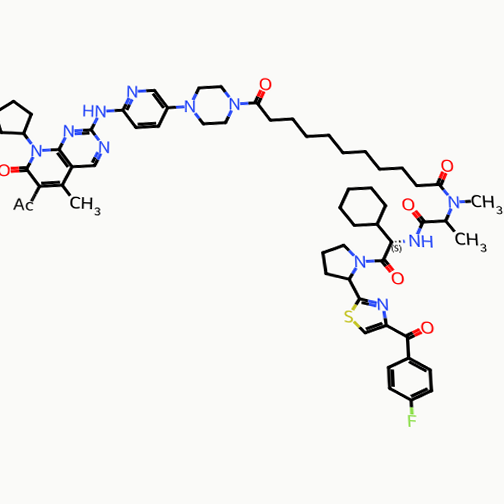 CC(=O)c1c(C)c2cnc(Nc3ccc(N4CCN(C(=O)CCCCCCCCCC(=O)N(C)C(C)C(=O)N[C@H](C(=O)N5CCCC5c5nc(C(=O)c6ccc(F)cc6)cs5)C5CCCCC5)CC4)cn3)nc2n(C2CCCC2)c1=O